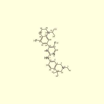 CCN1Cc2cc(Nc3ncc(F)c(-c4cc(F)c5c(c4)N(C(C)C)CCO5)n3)ccc2C(C)(C)C1